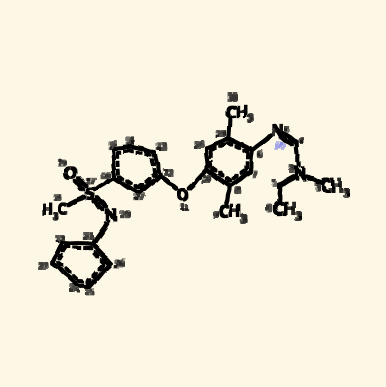 CCN(C)/C=N\c1cc(C)c(Oc2cccc(S(C)(=O)=Nc3ccccc3)c2)cc1C